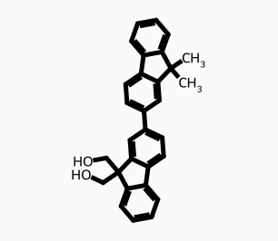 CC1(C)c2ccccc2-c2ccc(-c3ccc4c(c3)C(CO)(CO)c3ccccc3-4)cc21